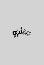 O=C(NC1CCOCC1)c1cc(C(=O)c2c(F)cccc2F)c[nH]1